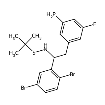 CC(C)(C)SNC(Cc1cc(F)cc(P)c1)c1cc(Br)ccc1Br